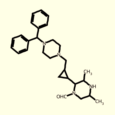 CC1CN(C=O)C(C2CC2CN2CCN(C(c3ccccc3)c3ccccc3)CC2)C(C)N1